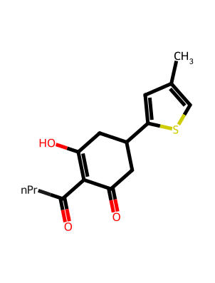 CCCC(=O)C1=C(O)CC(c2cc(C)cs2)CC1=O